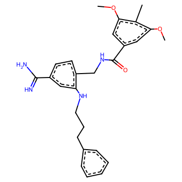 COc1cc(C(=O)NCc2ccc(C(=N)N)cc2NCCCc2ccccc2)cc(OC)c1C